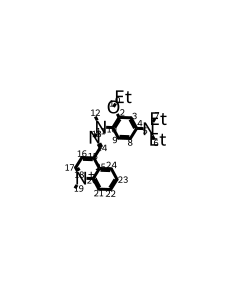 CCOc1cc(N(CC)CC)ccc1N(C)/N=C/c1cc[n+](C)c2ccccc12